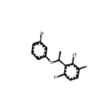 CC(Oc1cccc(Br)c1)c1c(Cl)ccc(F)c1Cl